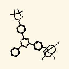 CC1(C)OB(c2ccc(-c3nc(-c4ccccc4)nc(-c4ccc(C56C[C@H]7C[C@@H](C5)C[C@@H](C6)C7)cc4)n3)cc2)OC1(C)C